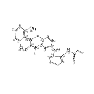 C=CC(=O)Nc1ccccc1Nc1ncc2c(n1)N(C)C(=O)N(c1c(O)cccc1Cl)C2